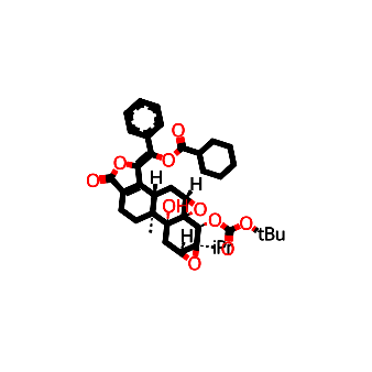 CC(C)[C@]12O[C@H]1C[C@]1(O)[C@]3(O[C@H]3C[C@H]3C4=C(CC[C@@]31C)C(=O)O/C4=C(/OC(=O)C1CCCCC1)c1ccccc1)[C@@H]2OC(=O)OC(C)(C)C